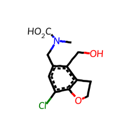 CN(Cc1cc(Cl)c2c(c1CO)CCO2)C(=O)O